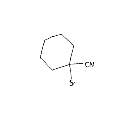 N#CC1([S])CCCCC1